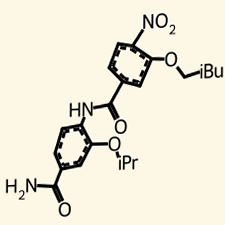 CCC(C)COc1cc(C(=O)Nc2ccc(C(N)=O)cc2OC(C)C)ccc1[N+](=O)[O-]